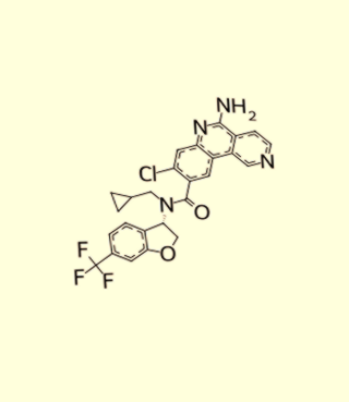 Nc1nc2cc(Cl)c(C(=O)N(CC3CC3)[C@@H]3COc4cc(C(F)(F)F)ccc43)cc2c2cnccc12